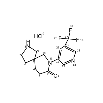 Cl.O=C1CCC2(CCNC2)CN1c1cncc(C(F)(F)F)c1